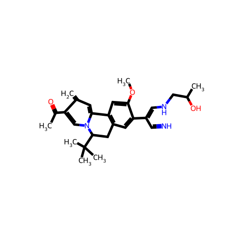 C=C1C=C2c3cc(OC)c(/C(C=N)=C/NCC(C)O)cc3CC(C(C)(C)C)N2C=C1C(C)=O